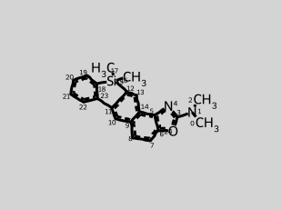 CN(C)c1nc2c(ccc3cc4c(cc32)[Si](C)(C)c2ccccc2-4)o1